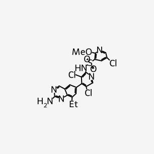 CCc1cc(-c2c(Cl)cnc(NS(=O)(=O)c3cc(Cl)cnc3OC)c2Cl)cc2cnc(N)nc12